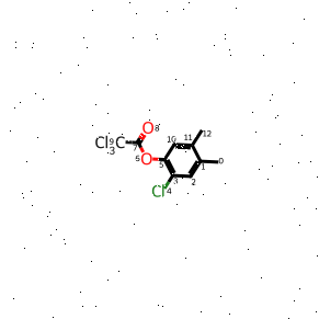 Cc1cc(Cl)c(OC(=O)C(Cl)(Cl)Cl)cc1C